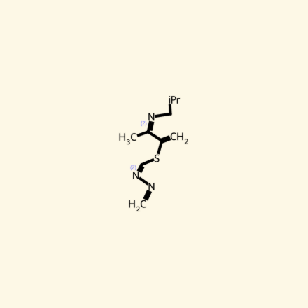 C=N/N=C\SC(=C)/C(C)=N\CC(C)C